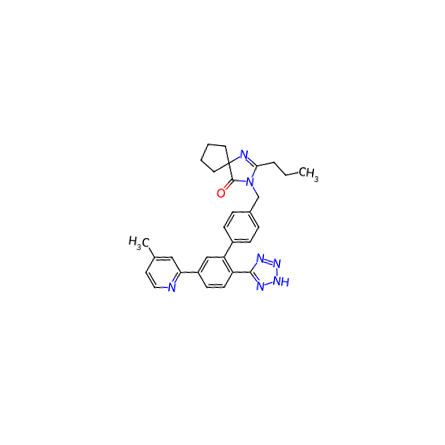 CCCC1=NC2(CCCC2)C(=O)N1Cc1ccc(-c2cc(-c3cc(C)ccn3)ccc2-c2nn[nH]n2)cc1